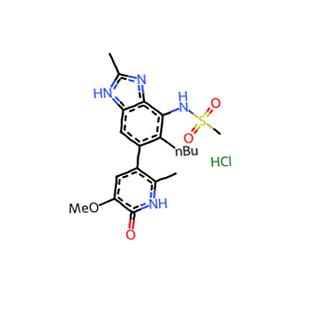 CCCCc1c(-c2cc(OC)c(=O)[nH]c2C)cc2[nH]c(C)nc2c1NS(C)(=O)=O.Cl